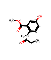 CCC=O.COC(=O)c1cc(O)ccc1[AsH2]